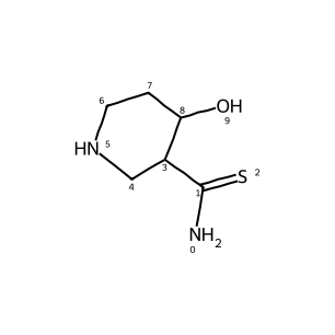 NC(=S)C1CNCCC1O